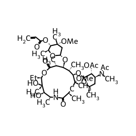 C=CC(=O)O[C@H]1[C@H](C)O[C@@H](O[C@H]2[C@H](C)[C@@H](O[C@@H]3O[C@H](C)C[C@H](N(C)C(C)=O)[C@H]3OC(C)=O)[C@](C)(OC)C[C@@H](C)C(=O)N[C@H](C)[C@@H](O)[C@](C)(O)[C@@H](CC)OC(=O)[C@@H]2C)C[C@@]1(C)OC